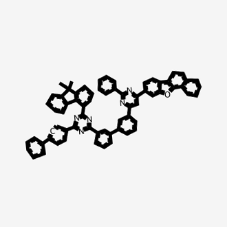 CC1(C)c2ccccc2-c2c(-c3nc(-c4ccc(-c5ccccc5)cc4)nc(-c4cccc(-c5cccc(-c6cc(-c7ccc8c(c7)oc7c9ccccc9ccc87)nc(-c7ccccc7)n6)c5)c4)n3)cccc21